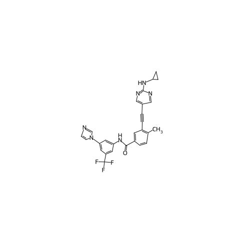 Cc1ccc(C(=O)Nc2cc(-n3ccnc3)cc(C(F)(F)F)c2)cc1C#Cc1cnc(NC2CC2)nc1